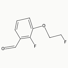 O=Cc1cccc(OCCF)c1F